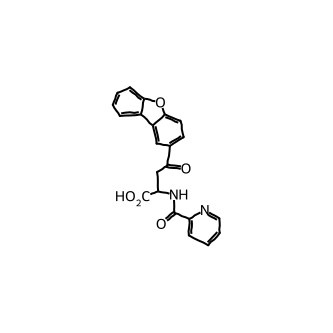 O=C(CC(NC(=O)c1ccccn1)C(=O)O)c1ccc2oc3ccccc3c2c1